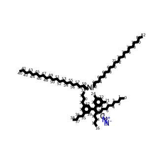 CCCCCCCCC(=C=[N+]=[N-])C(CCCC)=C(c1cc(C)cc(C)c1)c1cc(CCCC)cc(CCCC)c1.CCCCCCCCCCCCCCCCCCCC=[CH][Ni][CH]=CCCCCCCCCCCCCCCCCCCC